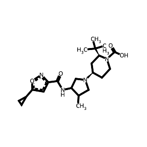 CC1CN([C@@H]2CCN(C(=O)O)[C@H](C(C)(C)C)C2)CC1NC(=O)c1cc(C2CC2)on1